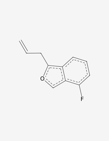 C=CCc1occ2c(F)cccc12